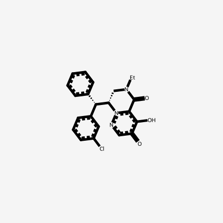 CCN1C[C@@H]([C@@H](c2ccccc2)c2cccc(Cl)c2)n2ncc(=O)c(O)c2C1=O